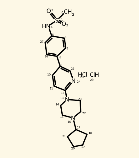 CS(=O)(=O)Nc1ccc(-c2ccc(N3CCN(C4CCCC4)CC3)nc2)cc1.Cl.Cl